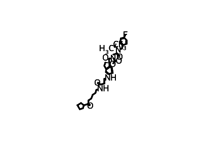 C[C@H](N(Cc1ccc(F)cc1)C(=O)CN1C(=O)O[C@@]2(CCc3cc(NCCC(=O)NCCCCCC(=O)C4CCCC4)ccc32)C1=O)C(F)(F)F